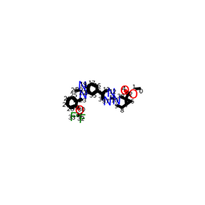 CCOC(=O)C12CC1CCN(c1ncc(-c3ccc4nc(C)n(Cc5ccccc5OC(F)F)c4c3)cn1)C2